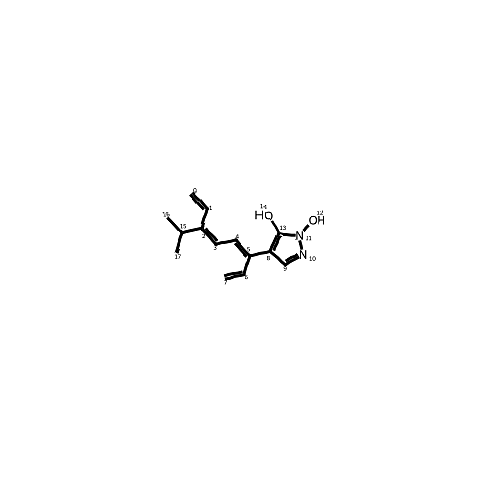 C=C/C(=C\C=C(/C=C)c1cnn(O)c1O)C(C)C